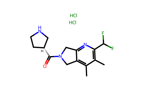 Cc1c(C(F)F)nc2c(c1C)CN(C(=O)[C@@H]1CCNC1)C2.Cl.Cl